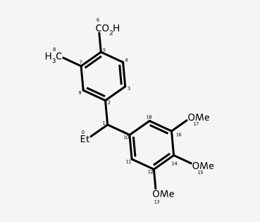 CCC(c1ccc(C(=O)O)c(C)c1)c1cc(OC)c(OC)c(OC)c1